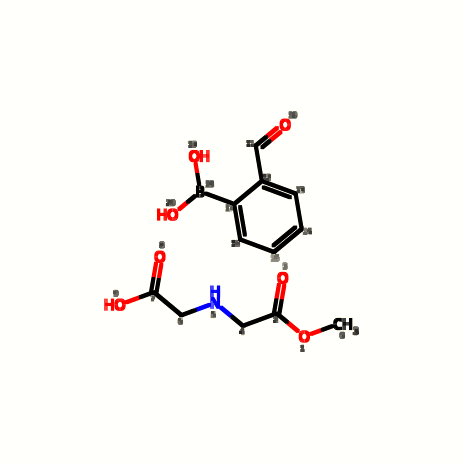 COC(=O)CNCC(=O)O.O=Cc1ccccc1B(O)O